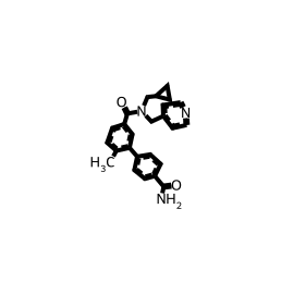 Cc1ccc(C(=O)N(Cc2ccncc2)CC2CC2)cc1-c1ccc(C(N)=O)cc1